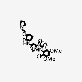 COc1cc(OC)c(Cl)c(NC(=O)N(C)c2cc(Nc3cccc(OCCN4CCCC4)c3F)ncn2)c1Cl